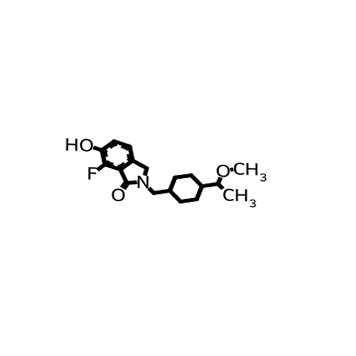 COC(C)C1CCC(CN2Cc3ccc(O)c(F)c3C2=O)CC1